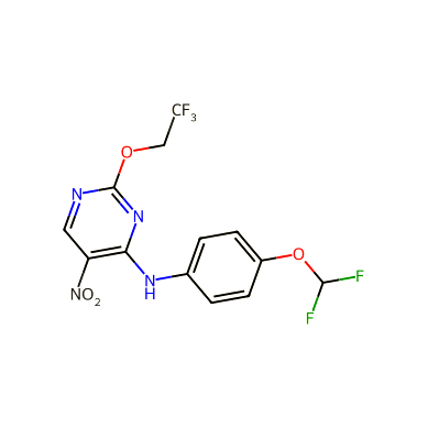 O=[N+]([O-])c1cnc(OCC(F)(F)F)nc1Nc1ccc(OC(F)F)cc1